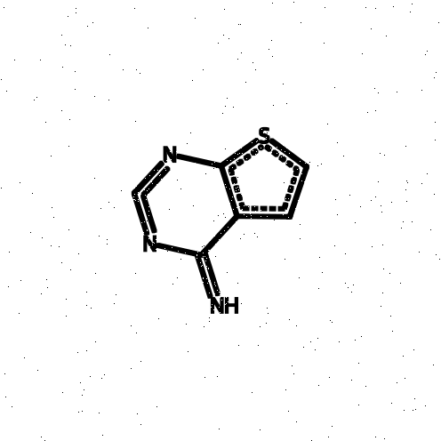 N=C1N=C=Nc2sccc21